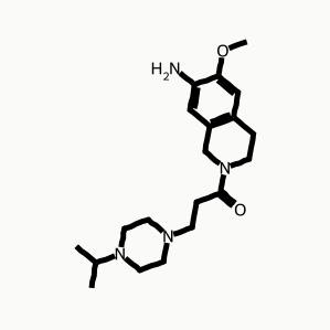 COc1cc2c(cc1N)CN(C(=O)CCN1CCN(C(C)C)CC1)CC2